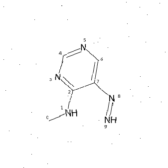 CNc1ncncc1N=N